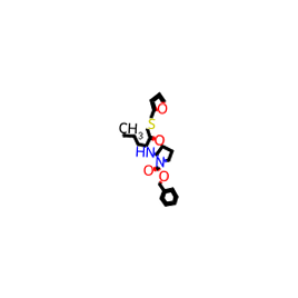 CCCCC(NC1CCCN1C(=O)OCc1ccccc1)C(=O)CSCc1ccco1